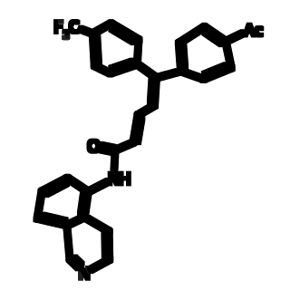 CC(=O)c1ccc(C(=CC=CC(=O)Nc2cccc3cnccc23)c2ccc(C(F)(F)F)cc2)cc1